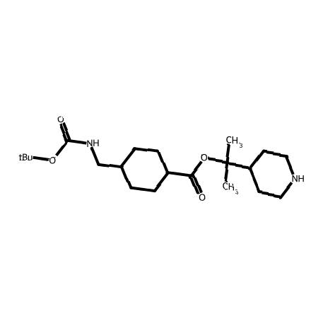 CC(C)(C)OC(=O)NCC1CCC(C(=O)OC(C)(C)C2CCNCC2)CC1